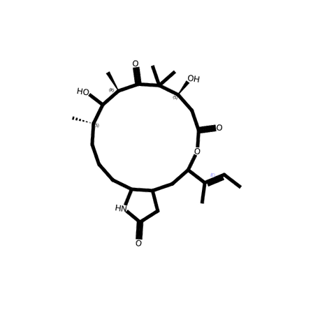 C/C=C(\C)C1CC2CC(=O)NC2CCC[C@H](C)C(O)[C@@H](C)C(=O)C(C)(C)[C@@H](O)CC(=O)O1